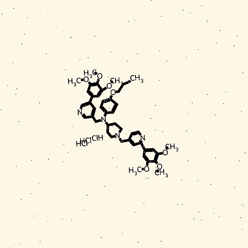 CCCCOc1ccc(N(Cc2cncc(-c3cc(OC)c(OC)c(OC)c3)c2)C2CCN(Cc3ccnc(-c4cc(OC)c(OC)c(OC)c4)c3)CC2)cc1.Cl.Cl.Cl